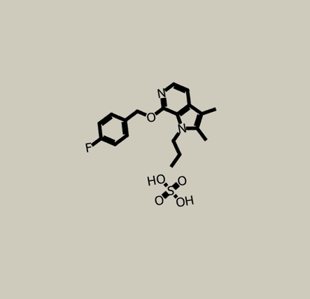 CCCn1c(C)c(C)c2ccnc(OCc3ccc(F)cc3)c21.O=S(=O)(O)O